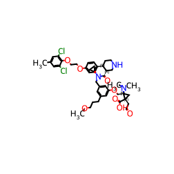 COCCCc1cc(CN(C(=O)[C@H]2CNCC[C@@H]2c2ccc(OCCOc3c(Cl)cc(C)cc3Cl)cc2)C2CC2)cc(OC[C@@]2(N(C)C)C[C@]2(CC=O)C(=O)O)c1